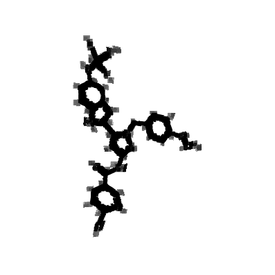 COc1ccc(Cn2nc(NC(=O)c3ccc(Cl)nc3)cc2-c2nc3cc(OC(F)(F)F)ccc3[nH]2)cc1